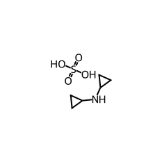 C1CC1NC1CC1.O=S(=O)(O)O